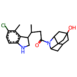 Cc1c(Cl)ccc2c1C(C(C)CC(=O)N1C3CC4CC1CC(O)(C4)C3)CN2